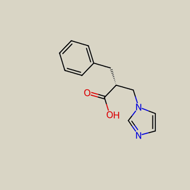 O=C(O)[C@H](Cc1ccccc1)Cn1ccnc1